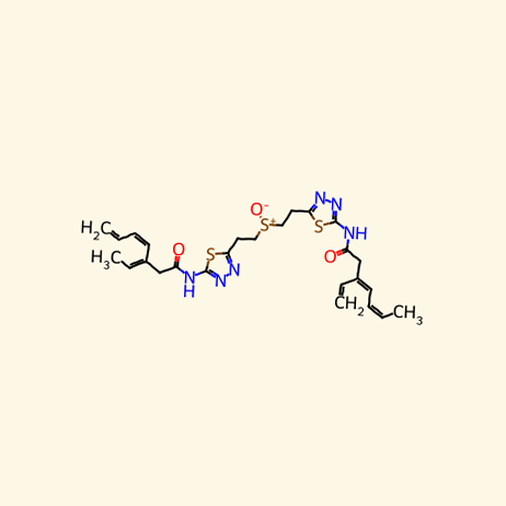 C=C/C=C\C(=C/C)CC(=O)Nc1nnc(CC[S+]([O-])CCc2nnc(NC(=O)C/C(C=C)=C/C=C\C)s2)s1